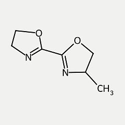 CC1COC(C2=NCCO2)=N1